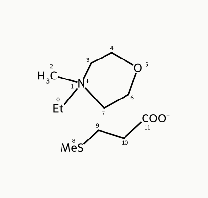 CC[N+]1(C)CCOCC1.CSCCC(=O)[O-]